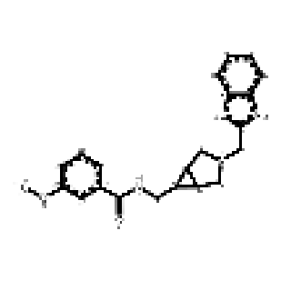 O=C(NCC1C2CN(Cc3nc4ccccc4s3)CC12)c1cccc(OC(F)(F)F)c1